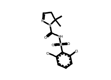 CC1(C)CC=NN1C(=O)NS(=O)(=O)c1c(Cl)cccc1Cl